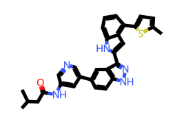 Cc1ccc(-c2cccc3[nH]c(-c4n[nH]c5ccc(-c6cncc(NC(=O)CC(C)C)c6)cc45)cc23)s1